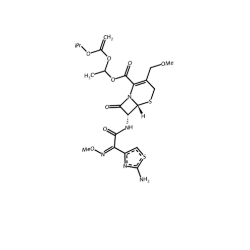 C=C(OC(C)C)OC(C)OC(=O)C1=C(COC)CS[C@@H]2[C@H](NC(=O)/C(=N\OC)c3csc(N)n3)C(=O)N12